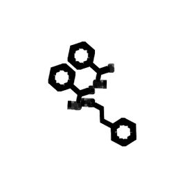 OC(=S)c1ccccc1.OC(=S)c1ccccc1.OCCc1ccccc1